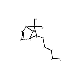 CCCCCC1C2C=CC(C2)C1(C)C